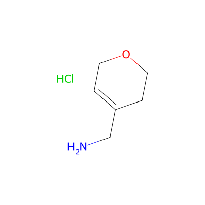 Cl.NCC1=CCOCC1